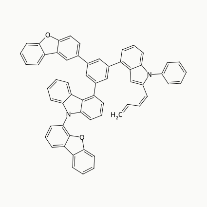 C=C/C=C\c1cc2c(-c3cc(-c4ccc5oc6ccccc6c5c4)cc(-c4cccc5c4c4ccccc4n5-c4cccc5c4oc4ccccc45)c3)cccc2n1-c1ccccc1